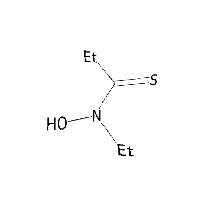 CCC(=S)N(O)CC